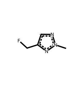 Cn1n[c]c(CF)n1